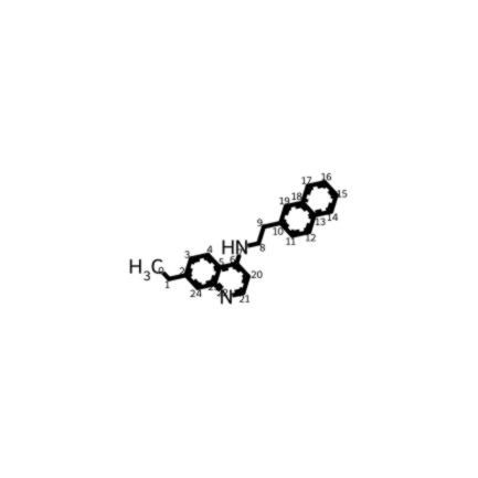 CCc1ccc2c(NCCc3ccc4ccccc4c3)ccnc2c1